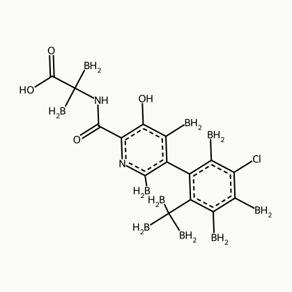 Bc1nc(C(=O)NC(B)(B)C(=O)O)c(O)c(B)c1-c1c(B)c(Cl)c(B)c(B)c1C(B)(B)B